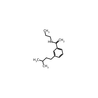 C=C(NCCC)c1cccc(CCC(C)C)c1